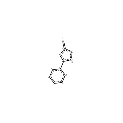 O=c1nc(-c2ccccc2)oo1